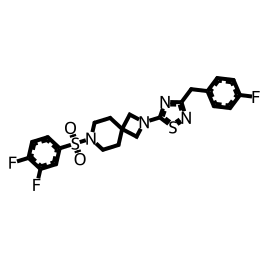 O=S(=O)(c1ccc(F)c(F)c1)N1CCC2(CC1)CN(c1nc(Cc3ccc(F)cc3)ns1)C2